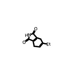 CCC1=CCC2=C(C1)C(=O)NC2=O